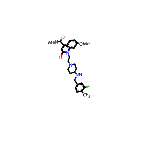 CNC(=O)c1cc(=O)n(CCN2CCC(NCc3ccc(C(F)(F)F)c(F)c3)CC2)c2cc(OC)ccc12